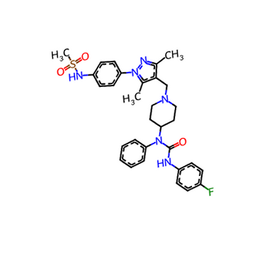 Cc1nn(-c2ccc(NS(C)(=O)=O)cc2)c(C)c1CN1CCC(N(C(=O)Nc2ccc(F)cc2)c2ccccc2)CC1